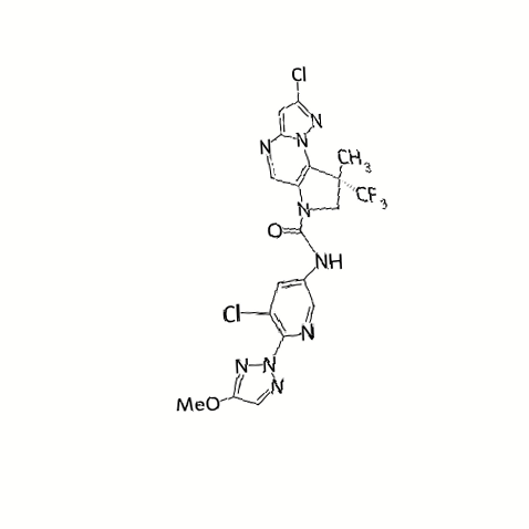 COc1cnn(-c2ncc(NC(=O)N3C[C@@](C)(C(F)(F)F)c4c3cnc3cc(Cl)nn43)cc2Cl)n1